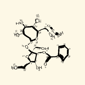 N=C=O.O=C(O[C@H]1[C@H](O)[C@@H](CO)O[C@@]1(CO)O[C@H]1O[C@H](CO)[C@@H](O)[C@H](O)[C@H]1O)c1ccccc1